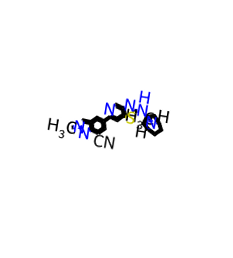 CN1[C@@H]2CC[C@H]1C[C@H](Nc1nc3cnc(-c4cc(C#N)c5nn(C)cc5c4)cc3s1)C2